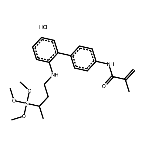 C=C(C)C(=O)Nc1ccc(-c2ccccc2NCCC(C)[Si](OC)(OC)OC)cc1.Cl